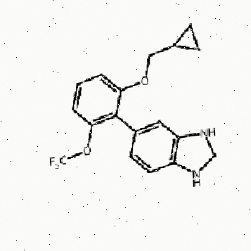 FC(F)(F)Oc1cccc(OCC2CC2)c1-c1ccc2c(c1)NCN2